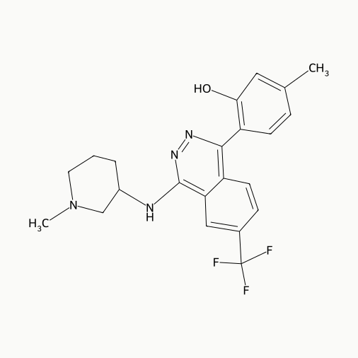 Cc1ccc(-c2nnc(NC3CCCN(C)C3)c3cc(C(F)(F)F)ccc23)c(O)c1